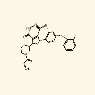 C=CC(=O)N1CCCC(c2cn(-c3ccc(Oc4ccccc4F)cc3)c3c(N)n[nH]c(=O)c23)C1